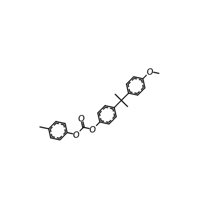 COc1ccc(C(C)(C)c2ccc(OC(=O)Oc3ccc(C)cc3)cc2)cc1